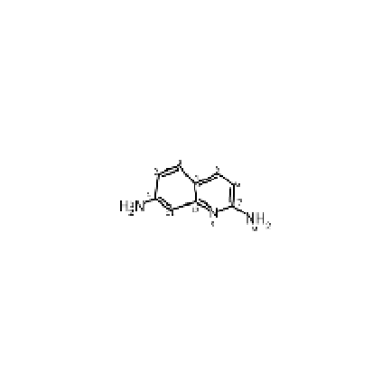 Nc1ccc2ccc(N)nc2c1